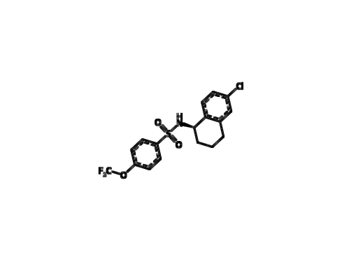 O=S(=O)(N[C@@H]1CCCc2cc(Cl)ccc21)c1ccc(OC(F)(F)F)cc1